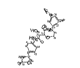 O=C(Nc1ccc(-c2noc(=O)[nH]2)cc1)[C@H](O)[C@H]1OCCN(c2cc(F)cc(F)c2)C1=O